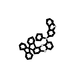 c1ccc(N(c2ccc3sc4ccccc4c3c2)c2cccc3c2Oc2c(ccc4c2-c2ccccc2C42c4ccccc4-c4ccccc42)O3)cc1